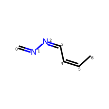 C=N/N=C\C=C/C